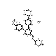 Cl.NCc1ccc(-c2ncc(OCC3CCNCC3)nc2-c2ccc(C3CCOCC3)cc2)cc1